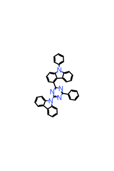 c1ccc(-c2nc(-c3cccc4c3c3ccccc3n4-c3ccccc3)nc(-n3c4ccccc4c4ccccc43)n2)cc1